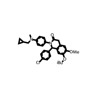 CCC(C)Oc1cc2c(cc1OC)CC(=O)N(c1ccc(N(C)CC3CC3)cc1)C2c1ccc(Cl)cc1